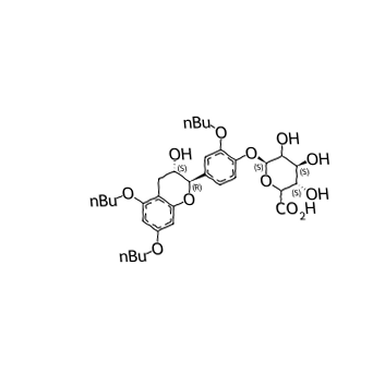 CCCCOc1cc(OCCCC)c2c(c1)O[C@H](c1ccc(O[C@@H]3OC(C(=O)O)[C@@H](O)[C@H](O)C3O)c(OCCCC)c1)[C@@H](O)C2